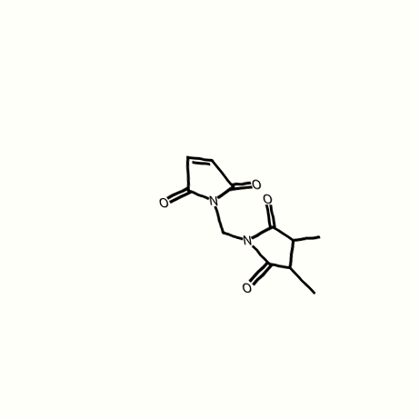 CC1C(=O)N(CN2C(=O)C=CC2=O)C(=O)C1C